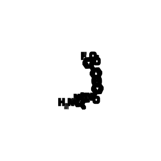 Cc1cc(N)nc(C)c1CNC(=O)c1ccc2c(c1)c1oc2c2ccc(-c3ccc(F)c4c3OCO4)cc21